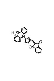 O=C1C(=Cc2ccc(N3c4ccccc4[SiH2]c4ccccc43)s2)C(=O)c2ccccc21